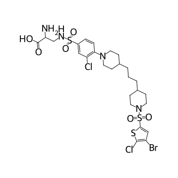 NC(CNS(=O)(=O)c1ccc(N2CCC(CCCC3CCN(S(=O)(=O)c4cc(Br)c(Cl)s4)CC3)CC2)c(Cl)c1)C(=O)O